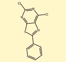 Clc1nc(Cl)c2nc(-c3ccccc3)sc2n1